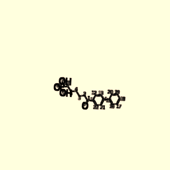 O=C(CCCCCP(=O)(O)O)c1ccc(-c2ccccc2)cc1